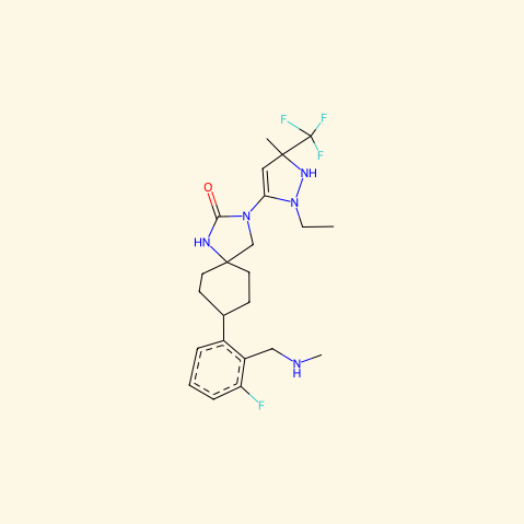 CCN1NC(C)(C(F)(F)F)C=C1N1CC2(CCC(c3cccc(F)c3CNC)CC2)NC1=O